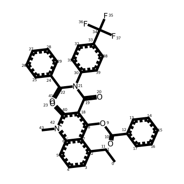 CCc1cccc2c1c(OC(=O)c1ccccc1)c(C(=O)N(C(=O)c1ccccc1)c1ccc(C(F)(F)F)cc1)c(=O)n2C